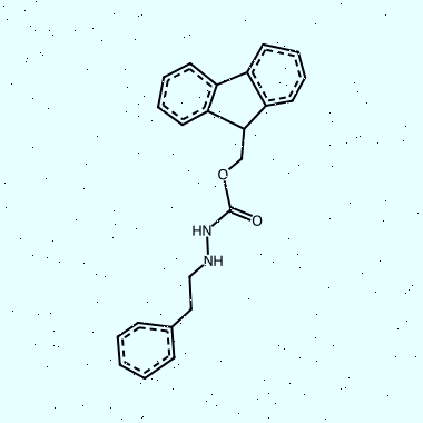 O=C(NNCCc1ccccc1)OCC1c2ccccc2-c2ccccc21